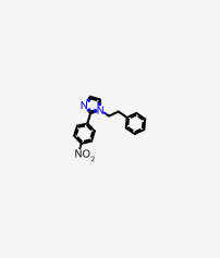 O=[N+]([O-])c1ccc(-c2nccn2CCc2ccccc2)cc1